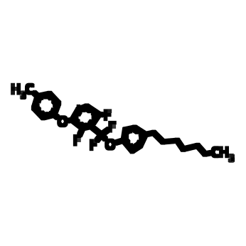 CCCCCCCc1ccc(OC(F)(F)c2c(F)c[c]c(Oc3ccc(C)cc3)c2F)cc1